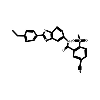 CCc1ccc(-c2nc3cc(NC(=O)c4cc(C#N)ccc4S(C)(=O)=O)ccc3s2)cc1